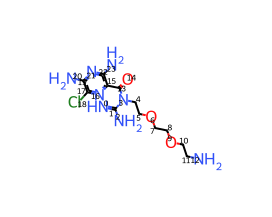 N=C(N)N(CCOCCOCCN)C(=O)c1nc(Cl)c(N)nc1N